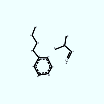 CC(C)C=O.CCCCc1ccccc1